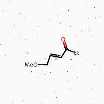 CCC(=O)/C=C/COC